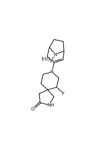 CCOC(=O)N1C2C=C(N3CCC4(CNC(=O)C4)C(F)C3)CC1CC2